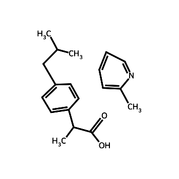 CC(C)Cc1ccc(C(C)C(=O)O)cc1.Cc1ccccn1